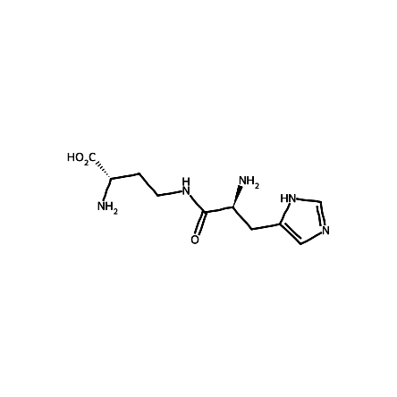 N[C@@H](CCNC(=O)[C@@H](N)Cc1cnc[nH]1)C(=O)O